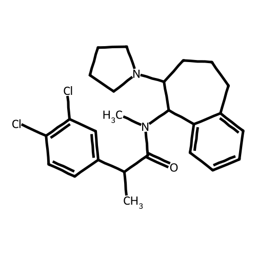 CC(C(=O)N(C)C1c2ccccc2CCCC1N1CCCC1)c1ccc(Cl)c(Cl)c1